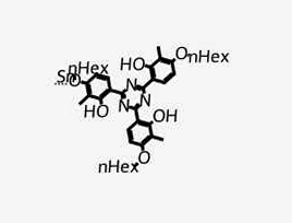 CCCCCCOc1ccc(-c2nc(-c3ccc(OCCCCCC)c(C)c3O)nc(-c3ccc(OCCCCCC)c(C)c3O)n2)c(O)c1C.[Sn]